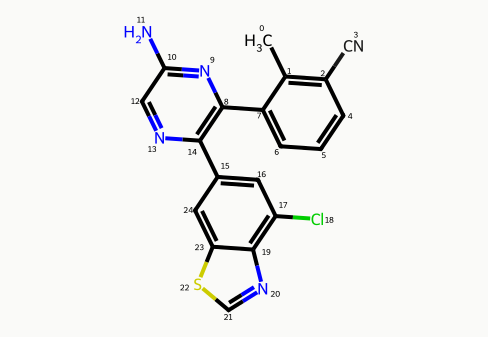 Cc1c(C#N)cccc1-c1nc(N)cnc1-c1cc(Cl)c2ncsc2c1